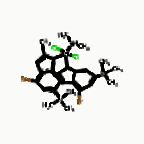 CC1=Cc2c(Br)cc([Si](C)(C)C)cc2[CH]1[Zr]([Cl])([Cl])([CH]1C(C)=Cc2c(Br)cc([Si](C)(C)C)cc21)[SiH](C)C